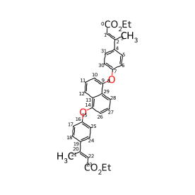 CCOC(=O)C=C(C)c1ccc(Oc2cccc3c(Oc4ccc(C(C)=CC(=O)OCC)cc4)cccc23)cc1